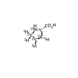 [2H][13CH]1[13C@H]([2H])[13C@@H]([13C](=O)O)[15NH][13C]1([2H])[2H]